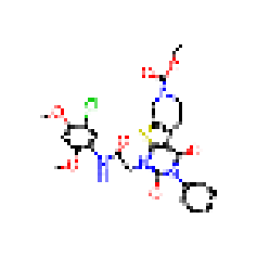 CCOC(=O)N1CCc2c(sc3c2c(=O)n(-c2ccccc2)c(=O)n3CC(=O)Nc2cc(Cl)c(OC)cc2OC)C1